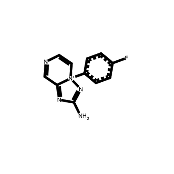 NC1=N[N+]2(c3ccc(F)cc3)C=CN=CC2=N1